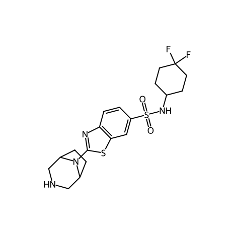 O=S(=O)(NC1CCC(F)(F)CC1)c1ccc2nc(N3C4CCC3CNC4)sc2c1